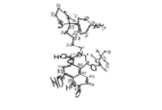 CC(C)(C)[Si](C)(C)OC(CN(CCCCC1(c2ccc(N)cc2)SCCS1)C(=O)O)c1ccc(O)c2[nH]c(=O)ccc12